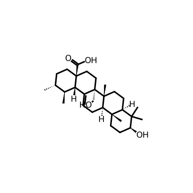 C[C@H]1[C@H](C)CC[C@]2(C(=O)O)CC[C@]3(CO)C(=CC[C@@H]4[C@@]5(C)CC[C@H](O)C(C)(C)[C@@H]5CC[C@]43C)[C@H]12